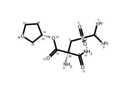 CCCC(CCC)S(=O)(=O)C[C@@](N)(C(N)=O)C(=O)O[C@H]1CCOC1